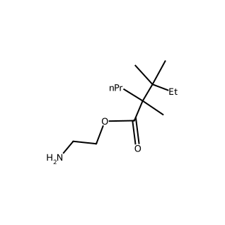 CCCC(C)(C(=O)OCCN)C(C)(C)CC